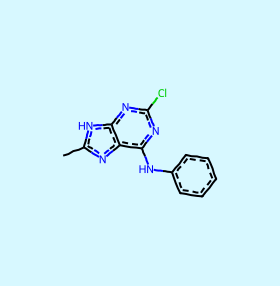 Cc1nc2c(Nc3ccccc3)nc(Cl)nc2[nH]1